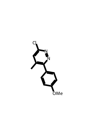 COc1ccc(-c2nnc(Cl)cc2C)cc1